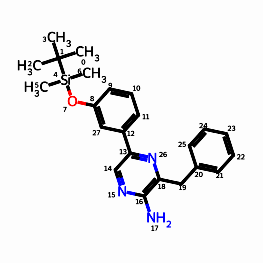 CC(C)(C)[Si](C)(C)Oc1cccc(-c2cnc(N)c(Cc3ccccc3)n2)c1